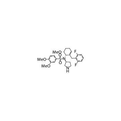 COc1ccc(S(=O)(=O)N([C@H]2CCNC2)[C@H]2C(Cc3c(F)cccc3F)=CCC[C@H]2OC)cc1OC